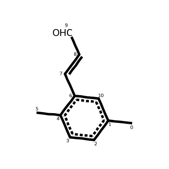 Cc1ccc(C)c(/C=C/C=O)c1